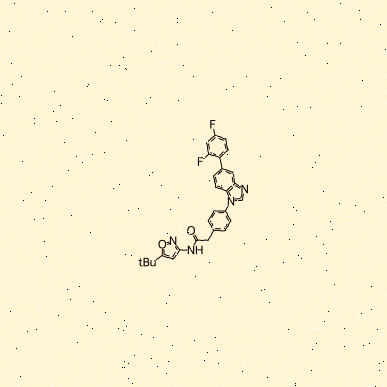 CC(C)(C)c1cc(NC(=O)Cc2ccc(-n3cnc4cc(-c5ccc(F)cc5F)ccc43)cc2)no1